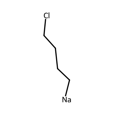 [Na][CH2]CCCCl